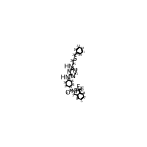 O=C(NCc1ccccc1C(F)(F)F)[C@H]1CC[C@@H](Nc2ncnc(NCCSCc3ccccc3)n2)CC1